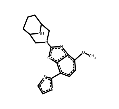 COc1ccc(-c2nccs2)c2oc(N3CC4CCCC(C3)N4)nc12